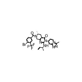 C=C[C@H](C)Nc1nc2c(c(=O)n1-c1ccn3c(C)nnc3c1)C[C@@H](C)N(C(=O)c1ccc(Br)c(C(F)(F)F)c1)C2